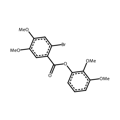 COc1cc(Br)c(C(=O)Oc2cccc(OC)c2OC)cc1OC